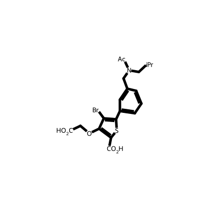 CC(=O)N(Cc1cccc(-c2sc(C(=O)O)c(OCC(=O)O)c2Br)c1)CC(C)C